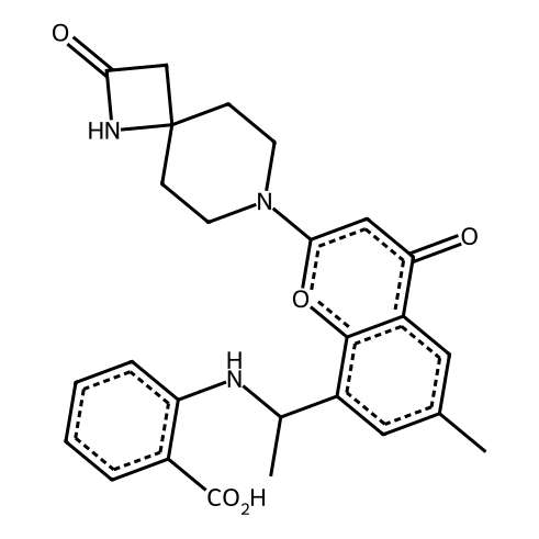 Cc1cc(C(C)Nc2ccccc2C(=O)O)c2oc(N3CCC4(CC3)CC(=O)N4)cc(=O)c2c1